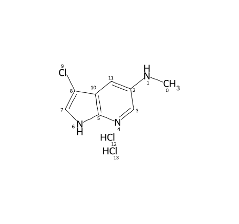 CNc1cnc2[nH]cc(Cl)c2c1.Cl.Cl